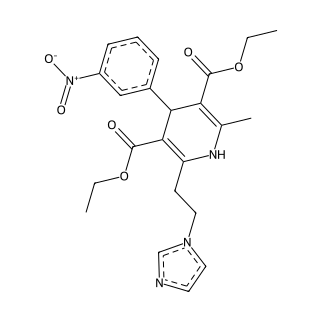 CCOC(=O)C1=C(C)NC(CCn2ccnc2)=C(C(=O)OCC)C1c1cccc([N+](=O)[O-])c1